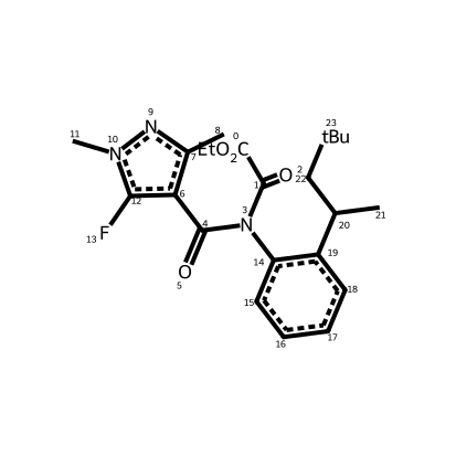 CCOC(=O)C(=O)N(C(=O)c1c(C)nn(C)c1F)c1ccccc1C(C)CC(C)(C)C